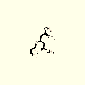 C=CCOC(CC(=C)C)CC(=C)C